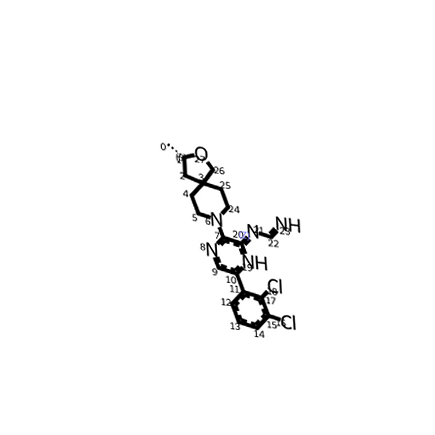 C[C@H]1CC2(CCN(c3ncc(-c4cccc(Cl)c4Cl)[nH]/c3=N\C=N)CC2)CO1